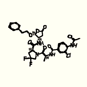 CC(=O)Nc1ccc(C(=O)N[C@@H](C)C(=O)N2CC(F)(F)C[C@H]2C(=O)N[C@H]2CC(=O)O[C@H]2OCCc2ccccc2)cc1Cl